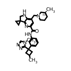 CC1CC(c2cccc(NC(=O)c3cc(CN4CCC[C@H](C)C4)c4c(n3)C3(CC3)CN4)c2)(c2nncn2C)C1